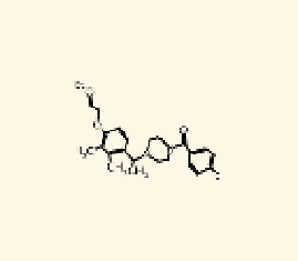 CCOCCOc1ccc(C(C)N2CCN(C(=O)c3ccc(Cl)cc3)CC2)c(C)c1C